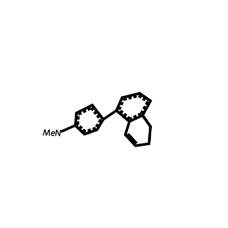 CNc1ccc(-c2cccc3c2C=CCC3)cc1